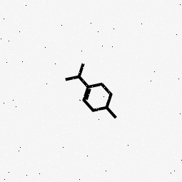 CC1C[C]=C(C(C)C)CC1